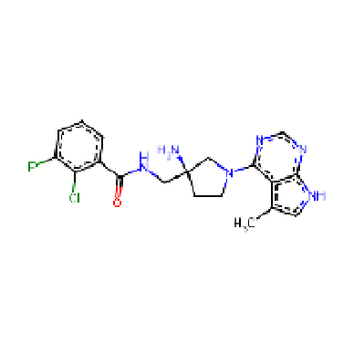 Cc1c[nH]c2ncnc(N3CC[C@](N)(CNC(=O)c4cccc(F)c4Cl)C3)c12